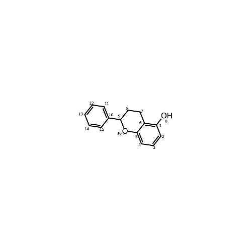 Oc1cccc2c1CCC(c1ccccc1)O2